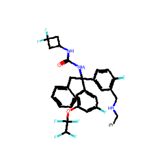 CC(C)CNCc1cc(C(Cc2ccccc2)(NC(=O)NC2CC(F)(F)C2)c2cc(F)cc(OC(F)(F)C(F)F)c2)ccc1F